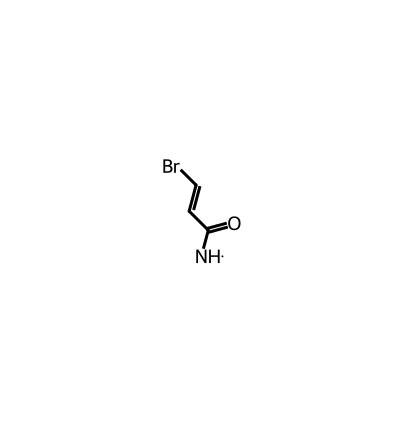 [NH]C(=O)C=CBr